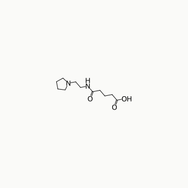 O=C(O)CCCC(=O)NCCN1CCCC1